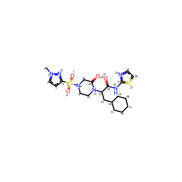 Cn1ccc(S(=O)(=O)N2CCN(C(CC3CCCCC3)C(=O)Nc3nccs3)C(=O)C2)n1